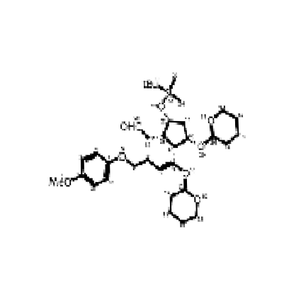 COc1ccc(OCC/C=C(/OC2CCCCO2)[C@@H]2[C@H](CC=O)[C@H](O[Si](C)(C)C(C)(C)C)C[C@@H]2OC2CCCCO2)cc1